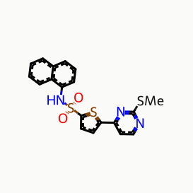 CSc1nccc(-c2ccc(S(=O)(=O)Nc3cccc4ccccc34)s2)n1